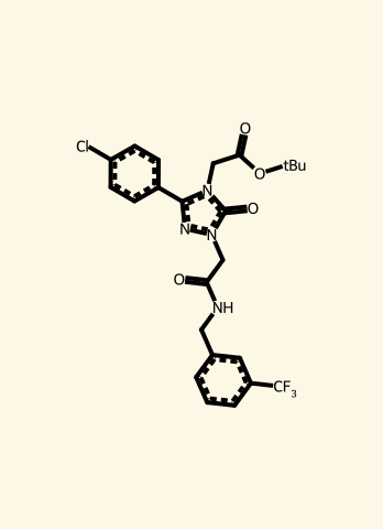 CC(C)(C)OC(=O)Cn1c(-c2ccc(Cl)cc2)nn(CC(=O)NCc2cccc(C(F)(F)F)c2)c1=O